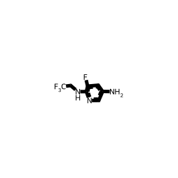 Nc1cnc(NCC(F)(F)F)c(F)c1